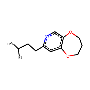 CCCC(CC)CCc1cc2c(cn1)OCCCO2